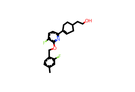 Cc1ccc(COc2nc(C3=CCC(CCO)CC3)ccc2F)c(F)c1